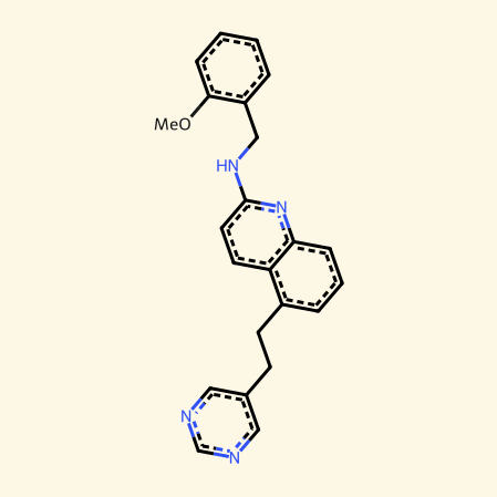 COc1ccccc1CNc1ccc2c(CCc3cncnc3)cccc2n1